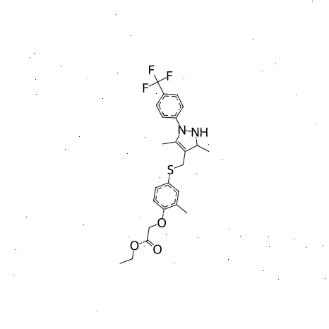 CCOC(=O)COc1ccc(SCC2=C(C)N(c3ccc(C(F)(F)F)cc3)NC2C)cc1C